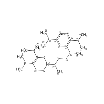 CC(C)C1=C(C(C)C)CN(C(C)CCC(C)c2cc(C(C)C)ccc2C(C)C)CC1